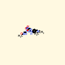 CCN(CC)Cc1ccc(Nc2ncc([N+](=O)[O-])c(NCCNC(C)=O)n2)cc1